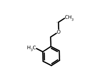 C[CH]OCc1ccccc1C